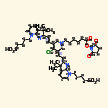 CC1(C)C2=CC=CN(CCCCS(=O)(=O)O)C2=N/C1=C/C=C1\CN(CCCCCC(=O)ON2C(=O)CCC2=O)CC(/C=C/C2=Nc3c(ccc[n+]3CCCCS(=O)(=O)O)C2(C)C)=C1Cl